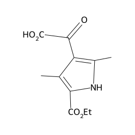 CCOC(=O)c1[nH]c(C)c(C(=O)C(=O)O)c1C